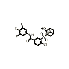 O=C(Nc1cc(F)c(F)c(F)c1)c1ccc(Cl)c(S(=O)(=O)C2CC3CC(C2)C3(O)CO)c1